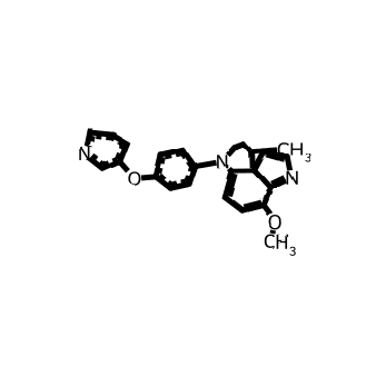 COC1=CC=C2N(c3ccc(Oc4cccnc4)cc3)CCC(C)C23C=CN=C13